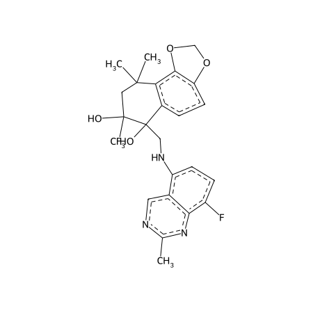 Cc1ncc2c(NCC3(O)c4ccc5c(c4C(C)(C)CC3(O)C(F)(F)F)OCO5)ccc(F)c2n1